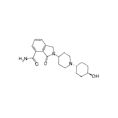 NC(=O)c1cccc2c1C(=O)N(C1CCN([C@H]3CC[C@H](O)CC3)CC1)C2